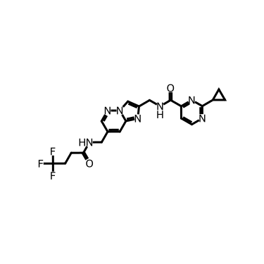 O=C(CCC(F)(F)F)NCc1cnn2cc(CNC(=O)c3ccnc(C4CC4)n3)nc2c1